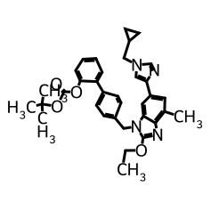 CCOc1nc2c(C)cc(-c3cn(CC4CC4)cn3)cc2n1Cc1ccc(-c2ccccc2OC(=O)OC(C)(C)C)cc1